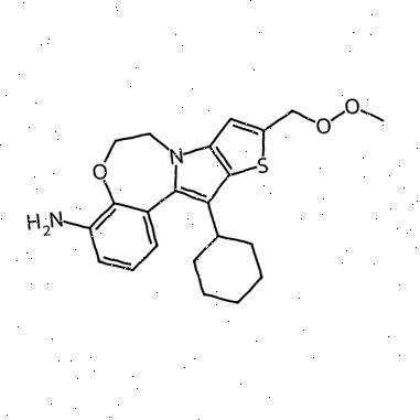 COOCc1cc2c(s1)c(C1CCCCC1)c1n2CCOc2c(N)cccc2-1